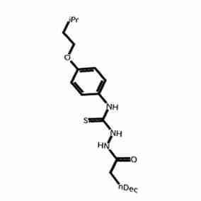 CCCCCCCCCCCC(=O)NNC(=S)Nc1ccc(OCCC(C)C)cc1